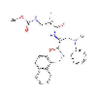 CC(=O)N1C[C@H](NC(=O)[C@@H](C)CNC(=O)OC(C)(C)C)C(=O)N(Cc2cccc3ccccc23)c2ccccc21